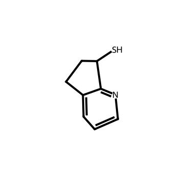 SC1CCc2cccnc21